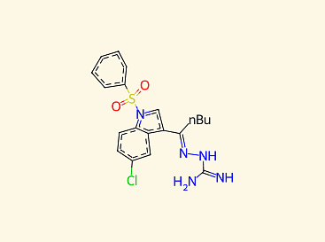 CCCCC(=NNC(=N)N)c1cn(S(=O)(=O)c2ccccc2)c2ccc(Cl)cc12